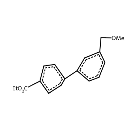 CCOC(=O)c1ccc(-c2cccc(COC)c2)cc1